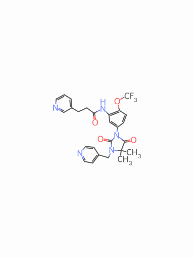 CC1(C)C(=O)N(c2ccc(OC(F)(F)F)c(NC(=O)CCc3cccnc3)c2)C(=O)N1Cc1ccncc1